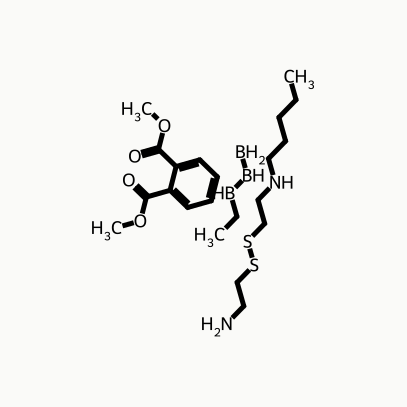 BBBCC.CCCCCNCCSSCCN.COC(=O)c1ccccc1C(=O)OC